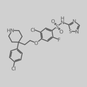 O=S(=O)(Nc1ncns1)c1cc(Cl)c(OCCC2(c3ccc(Cl)cc3)CCNCC2)cc1F